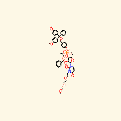 CC[C@H]1O[C@@H](n2ccc(=O)n(CCOCCOCCOC)c2=O)C(OC(=O)c2ccccc2)[C@H]1OP(=O)(Oc1ccc(COC(c2ccccc2)(c2ccc(OC)cc2)c2ccc(OC)cc2)cc1)OC(C)C